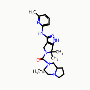 Cc1cccc(Nc2n[nH]c3c2CN(C(=O)N2CC4CCCN4C[C@@H]2C)C3(C)C)n1